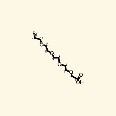 O=C(O)COCCOCCOCCOCCBr